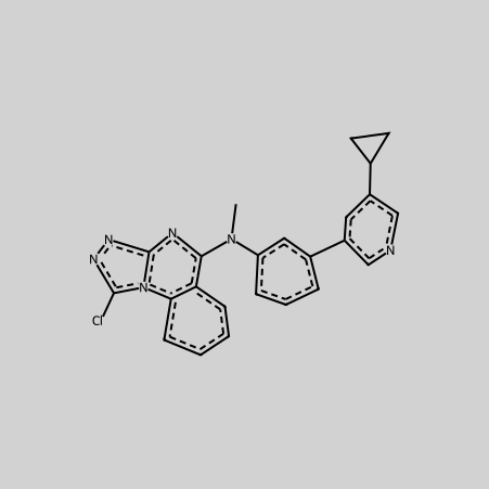 CN(c1cccc(-c2cncc(C3CC3)c2)c1)c1nc2nnc(Cl)n2c2ccccc12